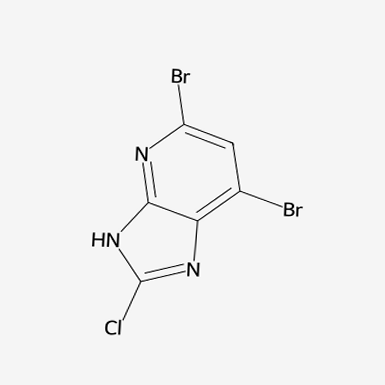 Clc1nc2c(Br)cc(Br)nc2[nH]1